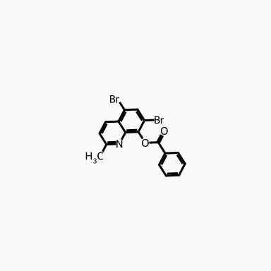 Cc1ccc2c(Br)cc(Br)c(OC(=O)c3ccccc3)c2n1